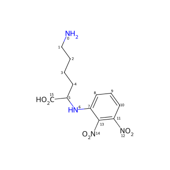 NCCCCC(Nc1cccc([N+](=O)[O-])c1[N+](=O)[O-])C(=O)O